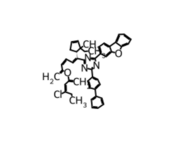 C=C(/C=C\C=C(\c1nc(-c2ccc(-c3ccccc3)cc2)nc(-c2ccc3c(c2)oc2ccccc23)n1)[C@@H]1CC=CC1(C)CC)OC(=C)/C=C(/Cl)CC